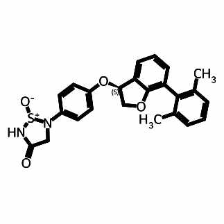 Cc1cccc(C)c1-c1cccc2c1OC[C@H]2Oc1ccc(N2CC(=O)N[S+]2[O-])cc1